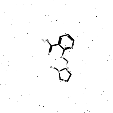 CC(=O)N1CCC[C@H]1COc1ncccc1C(N)=O